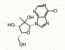 CC1(O)[C@@H](O)[C@@H](CO)O[C@H]1n1cnc2c(Cl)ncnc21